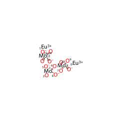 [Eu+3].[Eu+3].[O]=[Mo](=[O])([O-])[O-].[O]=[Mo](=[O])([O-])[O-].[O]=[Mo](=[O])([O-])[O-]